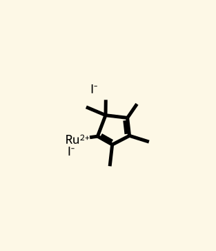 CC1=C(C)C(C)(C)[C]([Ru+2])=C1C.[I-].[I-]